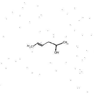 C/C=C/CC(C)O